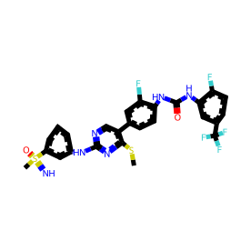 CSc1nc(Nc2cccc(S(C)(=N)=O)c2)ncc1-c1ccc(NC(=O)Nc2cc(C(F)(F)F)ccc2F)c(F)c1